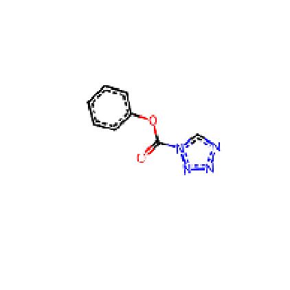 O=C(Oc1ccccc1)n1cnnn1